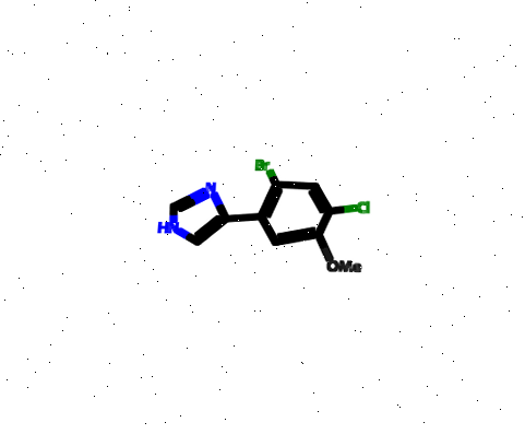 COc1cc(-c2c[nH]cn2)c(Br)cc1Cl